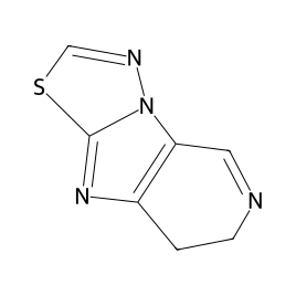 C1=NCCc2nc3scnn3c21